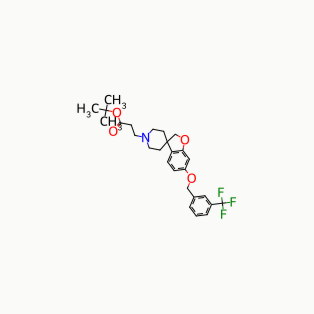 CC(C)(C)OC(=O)CCN1CCC2(CC1)COc1cc(OCc3cccc(C(F)(F)F)c3)ccc12